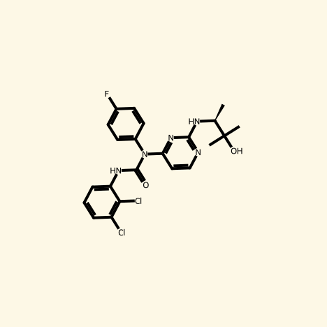 C[C@H](Nc1nccc(N(C(=O)Nc2cccc(Cl)c2Cl)c2ccc(F)cc2)n1)C(C)(C)O